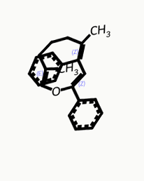 C/C1=C(c2ccccc2)\C=C(\c2ccccc2)O/C=C(\C)CCC1